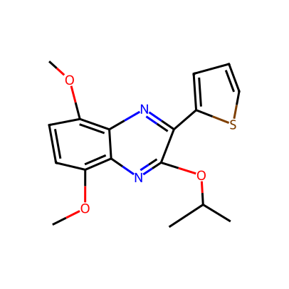 COc1ccc(OC)c2nc(-c3cccs3)c(OC(C)C)nc12